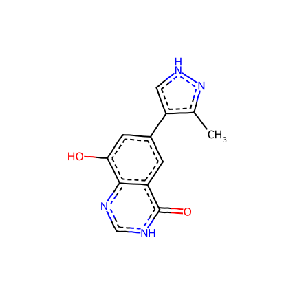 Cc1n[nH]cc1-c1cc(O)c2nc[nH]c(=O)c2c1